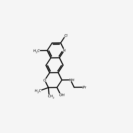 Cc1cc(Cl)nc2cc3c(cc12)OC(C)(C)C(O)C3NCC(C)C